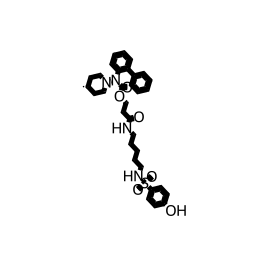 O=C(CCOC(=O)N(c1ccccc1-c1ccccc1)N1CC[CH]CC1)NCCCCCNS(=O)(=O)c1ccc(O)cc1